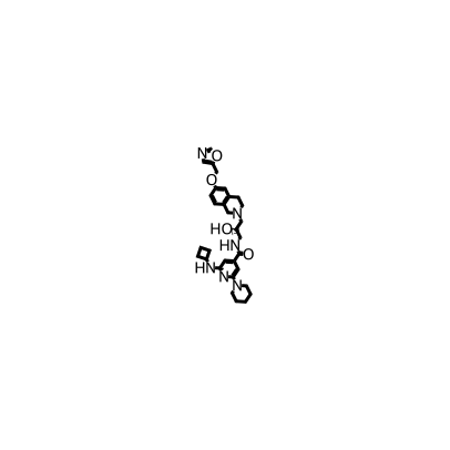 O=C(NC[C@H](O)CN1CCc2cc(OCc3cnco3)ccc2C1)c1cc(NC2CCC2)nc(N2CCCCC2)c1